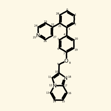 c1ccc(-c2ccc(OCc3cn4ccccc4n3)cc2)c(-c2ccncc2)c1